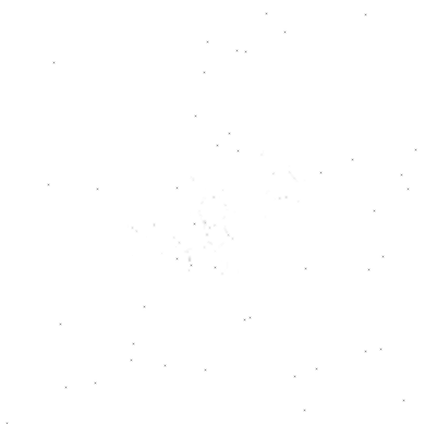 CC[C@](C)(N)CNC(=O)c1c(C)nc2c(OCC3C(F)=CC=CC3F)cc(C)cn12